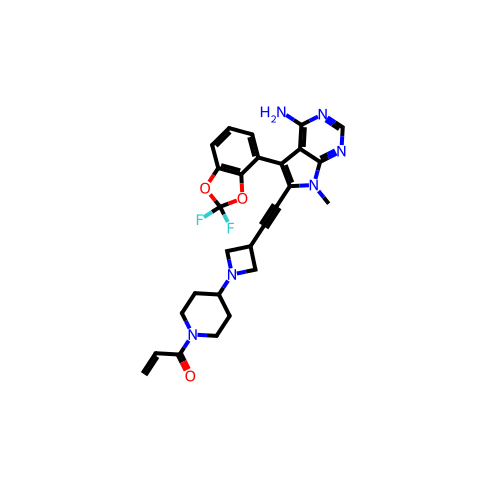 C=CC(=O)N1CCC(N2CC(C#Cc3c(-c4cccc5c4OC(F)(F)O5)c4c(N)ncnc4n3C)C2)CC1